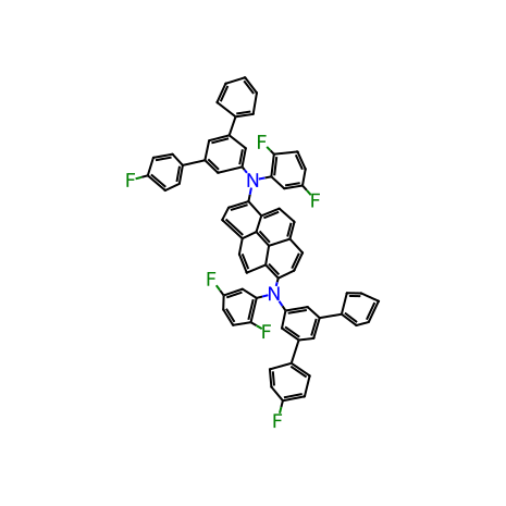 Fc1ccc(-c2cc(-c3ccccc3)cc(N(c3cc(F)ccc3F)c3ccc4ccc5c(N(c6cc(-c7ccccc7)cc(-c7ccc(F)cc7)c6)c6cc(F)ccc6F)ccc6ccc3c4c65)c2)cc1